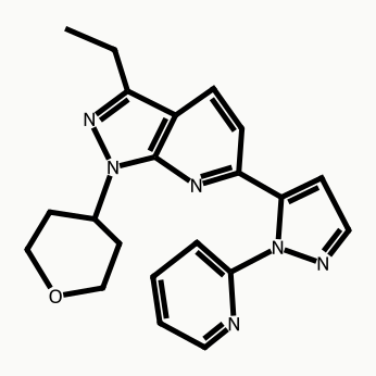 CCc1nn(C2CCOCC2)c2nc(-c3ccnn3-c3ccccn3)ccc12